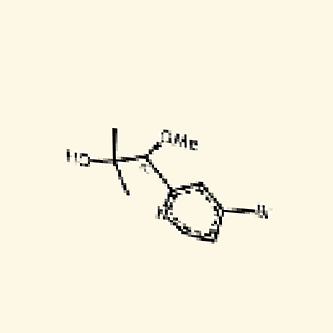 CO[C@@H](c1cc(Br)ccn1)C(C)(C)O